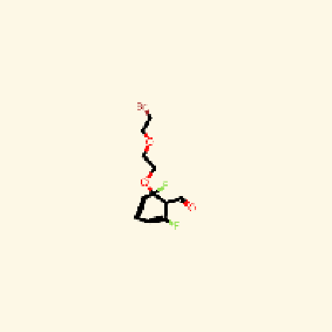 O=CC1C(F)=CC=CC1(F)OCCOCCBr